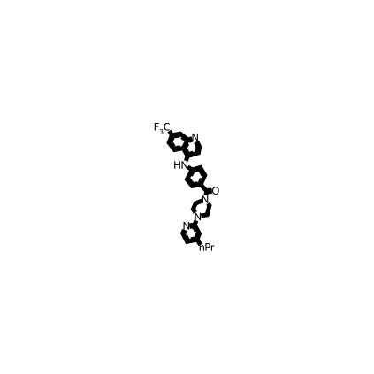 CCCc1ccnc(N2CCN(C(=O)c3ccc(Nc4ccnc5cc(C(F)(F)F)ccc45)cc3)CC2)c1